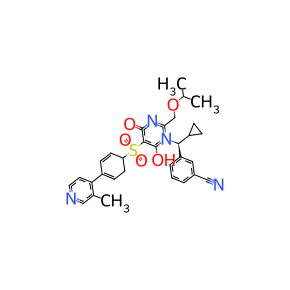 Cc1cnccc1C1=CCC(S(=O)(=O)c2c(O)n([C@H](c3cccc(C#N)c3)C3CC3)c(COC(C)C)nc2=O)C=C1